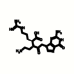 N=C(N)NCCC[C@H](C(=O)O)N(CCN)C(=O)Cn1cnc2c(=O)[nH]c(N)nc21